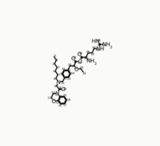 CCCCCCCN(CC(=O)N1CCOc2ccccc21)Cc1ccc(CC(OCC)C(=O)OC(=O)[C@@H](N)CCCNC(=N)N)cc1